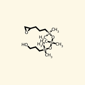 C[Si](C)(CCCO)O[Si](C)(C)O[Si](C)(C)CCCC1CO1